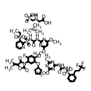 CC(C)=C1OC(=O)N(c2cc(OC3CCCC3)c(Cl)cc2F)C1=O.CCS(=O)(=O)c1cccnc1S(=O)(=O)NC(=O)Nc1nc(OC)cc(OC)n1.COc1nc(C)nc(NC(=O)NS(=O)(=O)c2ccccc2CCC(F)(F)F)n1.C[S+](C)C.O=C(O)CNCP(=O)([O-])O